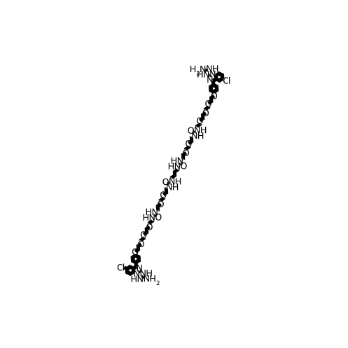 N=C(N)Nc1nc(-c2ccc(OCCOCCOCCOCCNC(=O)NCCOCCOCCNC(=O)NCCCCNC(=O)NCCOCCOCCNC(=O)NCCOCCOCCOCCOc3ccc(-c4nc(NC(=N)N)nc5ccc(Cl)cc45)cc3)cc2)c2cc(Cl)ccc2n1